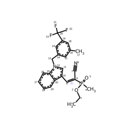 CCOP(C)(=O)/C(C#N)=C/c1cn(Cc2cc(C)cc(C(F)(F)F)c2)c2ccccc12